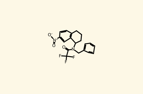 O=C(N(Cc1ccccc1)C1CCCc2ccc([N+](=O)[O-])cc21)C(F)(F)F